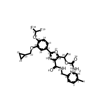 Cc1ccc(CNC(=O)c2nc(-c3ccc(OC(F)F)c(OCC4CC4)c3)oc2C(C)OC(N)=O)nc1